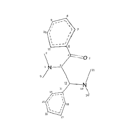 CN(C)C(C(=O)c1ccccc1)C(c1ccccc1)N(C)C